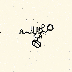 CN(C)CCCNc1nc(C23CC4CC(CC(C4)C2)C3)nc2c(Cc3ccccc3)c(=O)[nH]n12